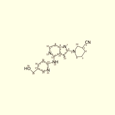 N#CC1CCCN(c2nc3ccnc(Nc4ccc(CO)cn4)c3s2)C1